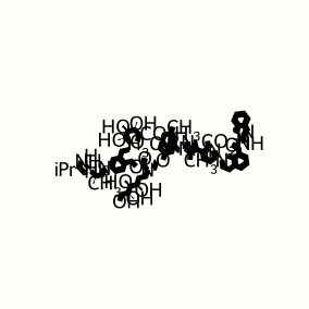 Cc1c(-c2ccc(N3CCc4cccc(C(=O)Nc5nc6ccccc6s5)c4C3)nc2C(=O)O)cnn1CC12CC3(C)CC(C)(C1)CC(OCCN(CC[C@@H](O)[C@H](O)[C@H](O)CO)C(=O)OCc1ccc(NC[C@H](C)NC[C@@H](N)C(C)C)cc1CC[C@@H]1O[C@H](C(=O)O)[C@@H](O)[C@H](O)[C@H]1O)(C3)C2